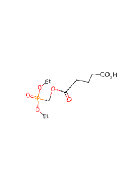 CCOP(=O)(COC(=O)CCCC(=O)O)OCC